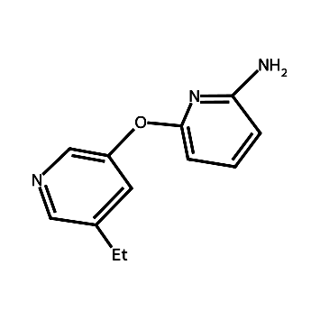 CCc1cncc(Oc2cccc(N)n2)c1